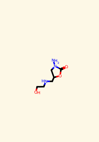 NN1CC(CNCCO)OC1=O